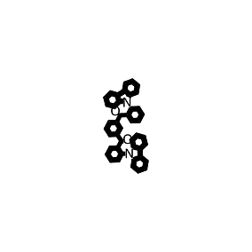 O=C(c1cccc(C(=O)c2ccccc2-n2c3ccccc3c3ccccc32)c1)c1ccccc1-n1c2ccccc2c2ccccc21